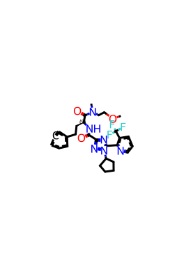 COCCN(C)C(=O)[C@H](CCc1ccccc1)NC(=O)c1nc(-c2ncccc2C(F)(F)F)n(C2CCCC2)n1